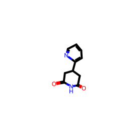 O=C1CC(c2ccccn2)CC(=O)N1